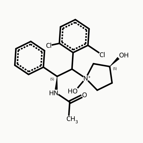 CC(=O)N[C@@H](c1ccccc1)C(c1c(Cl)cccc1Cl)[N+]1(O)CC[C@H](O)C1